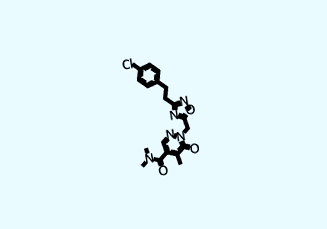 Cc1c(C(=O)N(C)C)cnn(Cc2nc(CCc3ccc(Cl)cc3)no2)c1=O